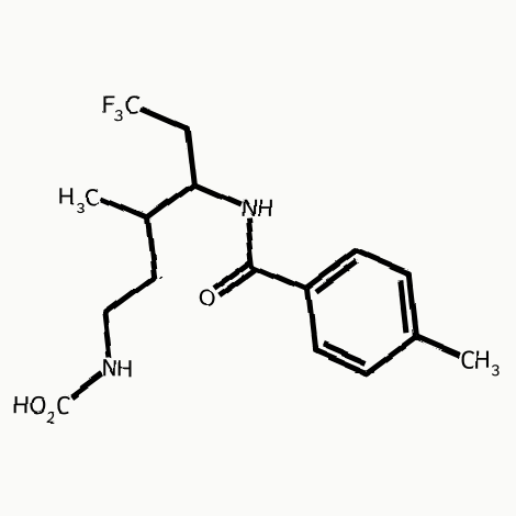 Cc1ccc(C(=O)NC(CC(F)(F)F)C(C)[CH]CNC(=O)O)cc1